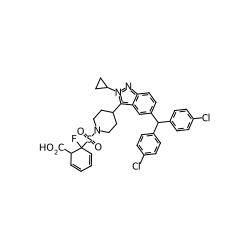 O=C(O)C1C=CC=CC1(F)S(=O)(=O)N1CCC(c2c3cc(C(c4ccc(Cl)cc4)c4ccc(Cl)cc4)ccc3nn2C2CC2)CC1